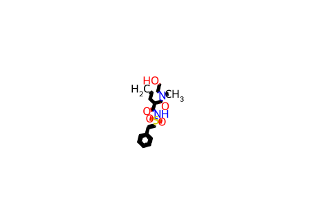 C=CCC(C(=O)NS(=O)(=O)C=Cc1ccccc1)C(=O)N(C)CCO